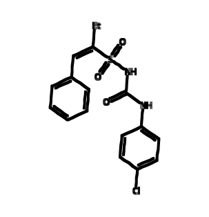 CCC(=Cc1ccccc1)S(=O)(=O)NC(=O)Nc1ccc(Cl)cc1